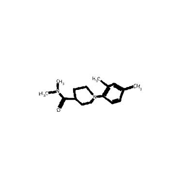 Cc1ccc(N2CCC(C(=O)N(C)C)CC2)c(C)c1